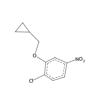 O=[N+]([O-])c1ccc(Cl)c(OCC2CC2)c1